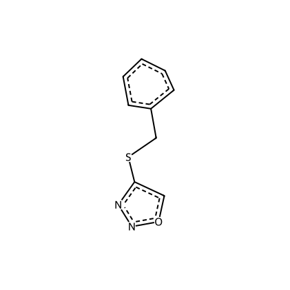 c1ccc(CSc2conn2)cc1